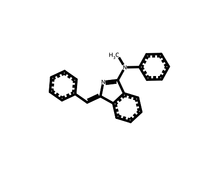 CN(C1=N/C(=C\c2ccccc2)c2ccccc21)c1ccccc1